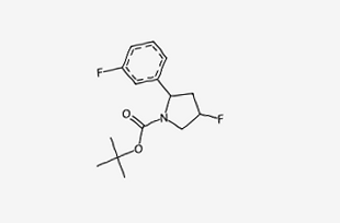 CC(C)(C)OC(=O)N1CC(F)CC1c1cccc(F)c1